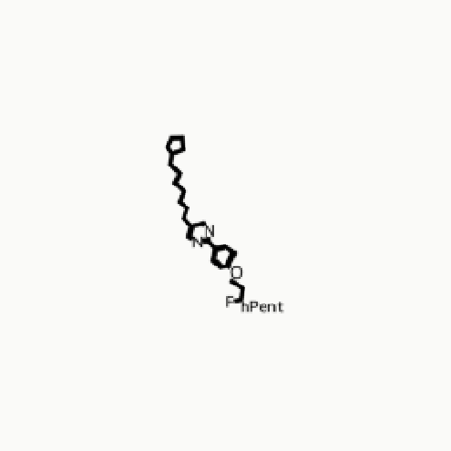 CCCCC[C@H](F)CCOc1ccc(-c2ncc(CCCCCCCC3CCCC3)cn2)cc1